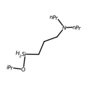 CCCN(CCC)CCC[SiH2]OC(C)C